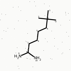 CC(C)(C)CCCCC(N)N